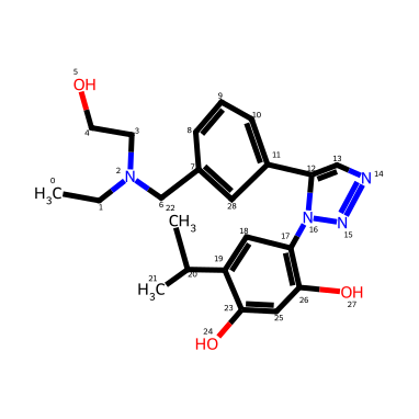 CCN(CCO)Cc1cccc(-c2cnnn2-c2cc(C(C)C)c(O)cc2O)c1